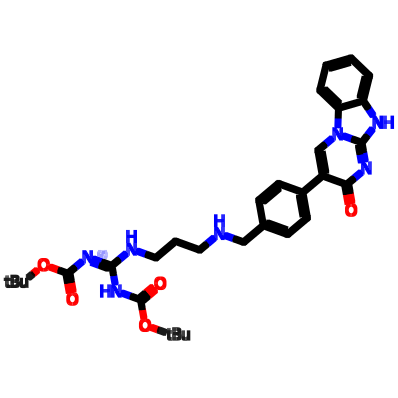 CC(C)(C)OC(=O)/N=C(/NCCCNCc1ccc(-c2cn3c(nc2=O)[nH]c2ccccc23)cc1)NC(=O)OC(C)(C)C